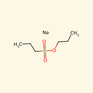 CCCOS(=O)(=O)CCC.[Na]